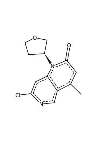 Cc1cc(=O)n([C@H]2CCOC2)c2cc(Cl)ncc12